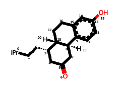 CC(C)CC[C@H]1CC(=O)C[C@@H]2c3ccc(O)cc3CC[C@@H]12